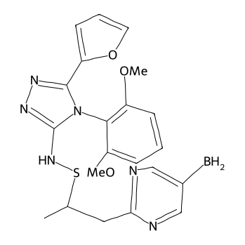 Bc1cnc(CC(C)SNc2nnc(-c3ccco3)n2-c2c(OC)cccc2OC)nc1